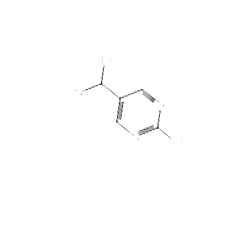 CCC(N)c1cnc(C(F)(F)F)nc1.Cl